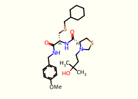 COc1ccc(CNC(=O)[C@H](CSCC2CCCCC2)NC(=O)[C@@H]2CSCN2CCC(C)(C)O)cc1